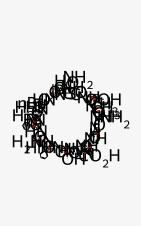 CCCC[C@H]1C(=O)N[C@@H](CC(C)C)C(=O)N[C@H](C(=O)NCC(N)=O)CSCC(=O)N[C@@H](Cc2ccc(O)cc2)C(=O)N(C)[C@@H](C)C(=O)N[C@@H](CC(N)=O)C(=O)N2CCC[C@H]2C(=O)N[C@@H](Cc2cnc[nH]2)C(=O)N[C@@H](CCC(=O)O)C(=O)N2C[C@H](O)C[C@H]2C(=O)N[C@@H](Cc2c[nH]c3ccccc23)C(=O)N[C@@H](CCN)C(=O)N[C@@H](Cc2c[nH]c3ccccc23)C(=O)N(CC)[C@@H](C)C(=O)N1C